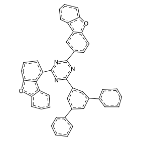 c1ccc(-c2cc(-c3ccccc3)cc(-c3nc(-c4ccc5oc6ccccc6c5c4)nc(-c4cccc5oc6ccccc6c45)n3)c2)cc1